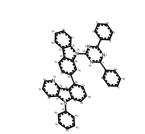 c1ccc(-c2nc(-c3ccccc3)nc(-n3c4ccccc4c4ccc(-c5cccc6c5c5ncccc5n6-c5ccccc5)cc43)n2)cc1